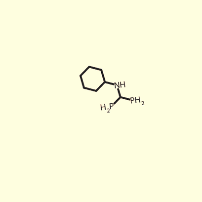 PC(P)NC1CCCCC1